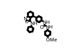 COc1ccc(NC(=O)Nc2ccc(-c3cccc4noc(Nc5ccccc5)c34)cc2)cc1